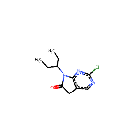 CCC(CC)N1C(=O)Cc2cnc(Cl)nc21